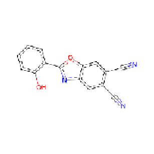 N#Cc1cc2nc(-c3ccccc3O)oc2cc1C#N